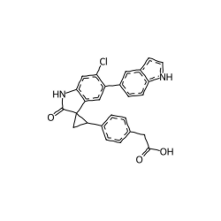 O=C(O)Cc1ccc(C2CC23C(=O)Nc2cc(Cl)c(-c4ccc5[nH]ccc5c4)cc23)cc1